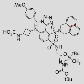 COc1ccc(Cn2nnnc2-c2c(NC3CC(NC(=O)O)C3)ccc(S(=O)(=O)NC[C@@H](CNC(=O)OC(C)(C)C)O[Si](C)(C)C(C)(C)C)c2S(=O)(=O)N(Cc2ccccc2)Cc2ccccc2)cc1